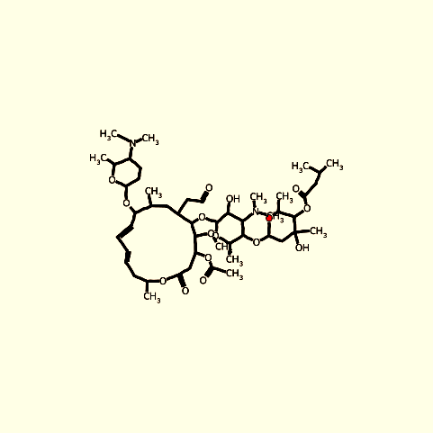 COC1C(OC(C)=O)CC(=O)OC(C)C/C=C/C=C/C(OC2CCC(N(C)C)C(C)O2)C(C)CC(CC=O)C1OC1OC(C)C(OC2CC(C)(O)C(OC(=O)CC(C)C)C(C)O2)C(N(C)C)C1O